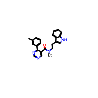 CCN(CCc1c[nH]c2ccccc12)C(=O)c1cncnc1-c1cccc(C)c1